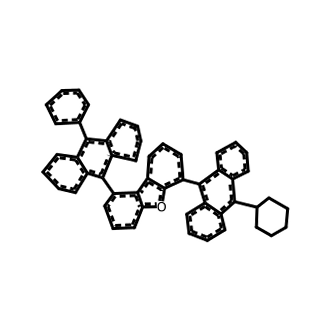 c1ccc(-c2c3ccccc3c(-c3cccc4oc5c(-c6c7ccccc7c(C7CCCCC7)c7ccccc67)cccc5c34)c3ccccc23)cc1